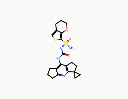 NS(=O)(=NC(=O)Nc1c2c(nc3c1CCC31CC1)CCC2)c1scc2c1OCCC2